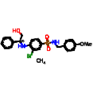 C.COc1ccc(CNS(=O)(=O)c2ccc(N[C@H](CO)c3ccccc3)c(Br)c2)cc1